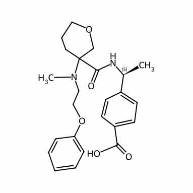 C[C@H](NC(=O)C1(N(C)CCOc2ccccc2)CCCOC1)c1ccc(C(=O)O)cc1